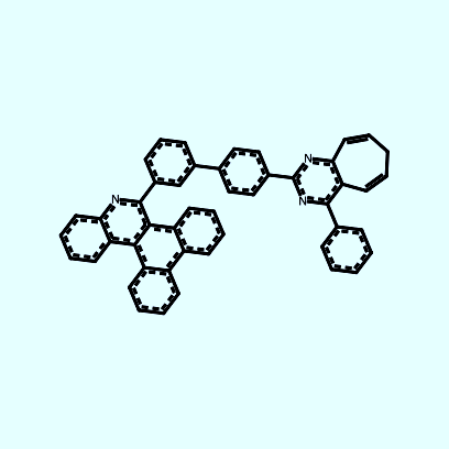 C1=Cc2nc(-c3ccc(-c4cccc(-c5nc6ccccc6c6c7ccccc7c7ccccc7c56)c4)cc3)nc(-c3ccccc3)c2C=CC1